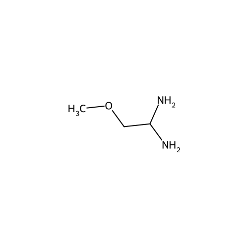 COCC(N)N